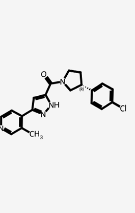 Cc1cnccc1-c1cc(C(=O)N2CC[C@H](c3ccc(Cl)cc3)C2)[nH]n1